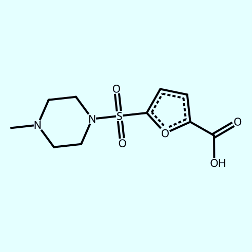 CN1CCN(S(=O)(=O)c2ccc(C(=O)O)o2)CC1